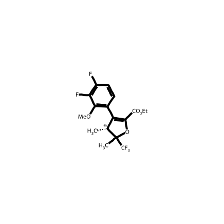 CCOC(=O)C1=C(c2ccc(F)c(F)c2OC)[C@@H](C)C(C)(C(F)(F)F)O1